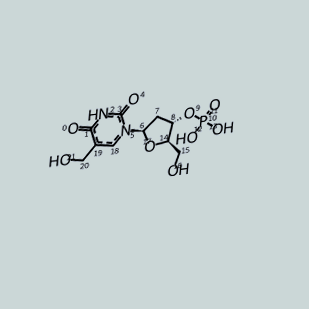 O=c1[nH]c(=O)n([C@H]2C[C@H](OP(=O)(O)O)[C@@H](CO)O2)cc1CO